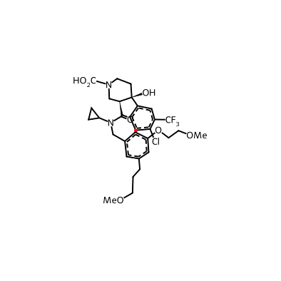 COCCCc1cc(CN(C(=O)[C@H]2CN(C(=O)O)CC[C@]2(O)c2ccc(Cl)c(C(F)(F)F)c2)C2CC2)cc(OCCOC)c1